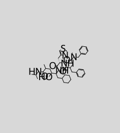 CC(C)NC(=O)C(C)CC(O)C(CC1CCCCC1)NC(=O)[C@H](Cc1cscn1)NC(=O)C(CC(=O)N(C)Cc1ccccc1)Cc1ccccc1